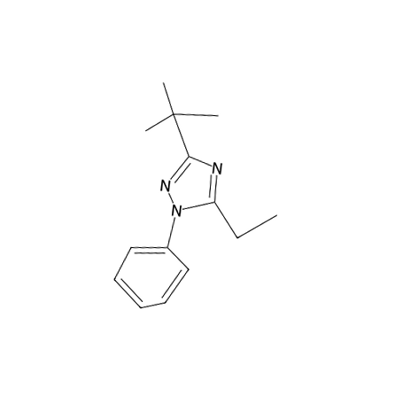 CCc1nc(C(C)(C)C)nn1-c1ccccc1